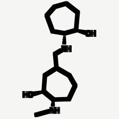 CN[C@H]1CCCC(CN[C@@H]2CCCCC[C@H]2O)C[C@@H]1O